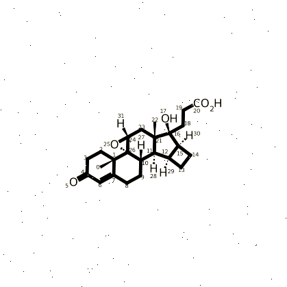 C[C@]12CCC(=O)C=C1CC[C@H]1[C@@H]3[C@@H]4CC[C@@H]4[C@@](O)(CCC(=O)O)[C@@]3(C)C[C@H]3O[C@]312